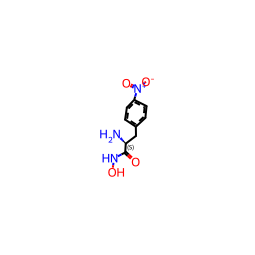 N[C@@H](Cc1ccc([N+](=O)[O-])cc1)C(=O)NO